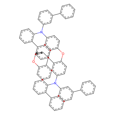 c1ccc(-c2cccc(N(c3ccc4c(c3)C3(c5ccccc5Oc5ccccc53)c3cc(N(c5cccc(-c6ccccc6)c5)c5ccccc5-c5ccccc5)ccc3O4)c3ccccc3-c3ccccc3)c2)cc1